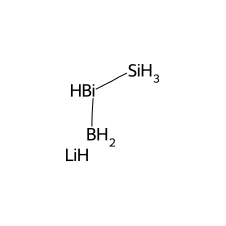 [BH2][BiH][SiH3].[LiH]